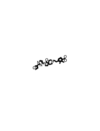 Cc1c(CCN2CCC3(CC2)CCN(c2ccnc(-c4ccoc4)n2)C3=O)ccc2c1COC2=O